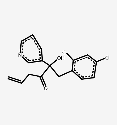 C=CCC(=O)C(O)(Cc1ccc(Cl)cc1Cl)c1cccnc1